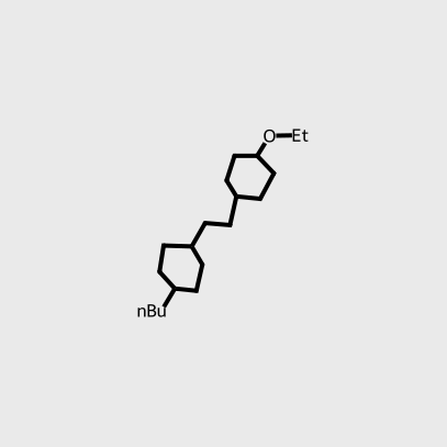 CCCCC1CCC(CCC2CCC(OCC)CC2)CC1